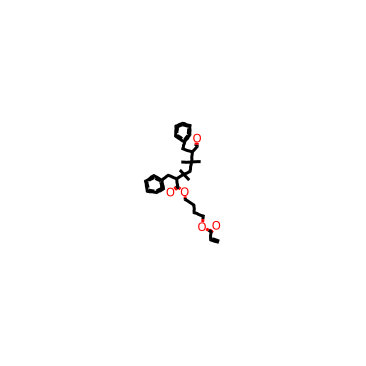 C=CC(=O)OCCCCOC(=O)C(Cc1ccccc1)C(C)(C)CC(C)(C)C(C=O)Cc1ccccc1